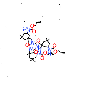 C=CCOC(=O)NC1CC(C)(C)CC(C)(Cn2c(=O)n(CC3(C)CC(NC(=O)OCC=C)CC(C)(C)C3)c(=O)n(CC3(C)CC(NC(=O)OCC=C)CC(C)(C)C3)c2=O)C1